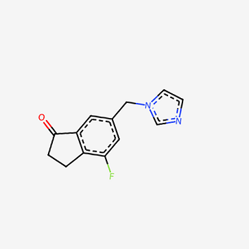 O=C1CCc2c(F)cc(Cn3ccnc3)cc21